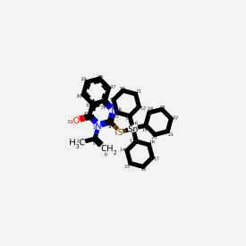 C=C(C)n1c([S][Sn]([CH]2CCCCC2)([CH]2CCCCC2)[CH]2CCCCC2)nc2ccccc2c1=O